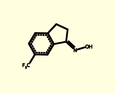 O/N=C1\CCc2ccc(C(F)(F)F)cc21